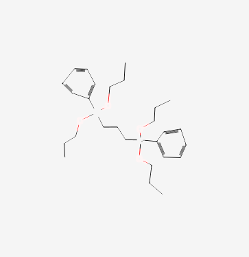 CCCO[Si](CCC[Si](OCCC)(OCCC)c1ccccc1)(OCCC)c1ccccc1